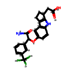 NC(=O)C(Oc1ccc2[nH]c3c(c2c1)CCC3CC(=O)O)c1cccc(C(F)(F)F)c1